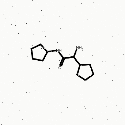 NC(C(=O)NC1CCCC1)C1CCCC1